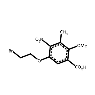 COc1c(C(=O)O)cc(OCCBr)c([N+](=O)[O-])c1C